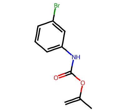 C=C(C)OC(=O)Nc1cccc(Br)c1